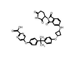 CC(C)(c1ccc(Oc2cnc(C(=O)O)nc2)cc1)c1ccc(O[C@H]2C[C@H](Nc3ccc4c(c3)C(=O)N(C3CCC(=O)NC3=O)C4=O)C2)cc1